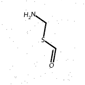 NCSC=O